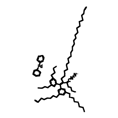 CCCCCCCCCCCCCCCCCCCCCCCCC(C(=C=[N+]=[N-])CCCC)=C(c1cc(CCCC)cc(CCCC)c1)c1cc(CCCCCCCC)cc(CCCCCCCC)c1.c1cc[c]([Pd][c]2ccccc2)cc1